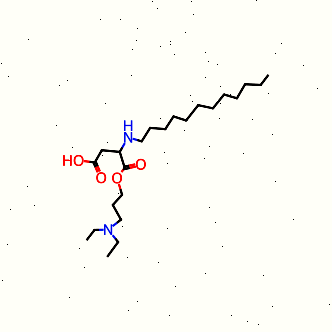 CCCCCCCCCCCCNC(CC(=O)O)C(=O)OCCCN(CC)CC